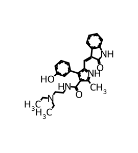 CCN(CC)CCNC(=O)c1c(C)[nH]c(C=C2C(=O)Nc3ccccc32)c1-c1cccc(O)c1